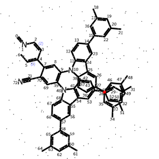 C=N/C=C\C(=C/C)c1cc(-n2c3ccc(-c4cc(C)cc(C)c4)cc3c3cc(-c4cc(C)cc(C)c4)ccc32)c(-n2c3ccc(-c4cc(C)cc(C)c4)cc3c3cc(-c4cc(C)cc(C)c4)ccc32)cc1C#N